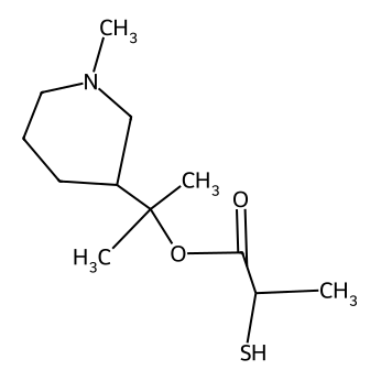 CC(S)C(=O)OC(C)(C)C1CCCN(C)C1